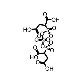 O=C(O)CC(C(=O)O)S(=O)(=O)OS(=O)(=O)OS(=O)(=O)C(CC(=O)O)C(=O)O